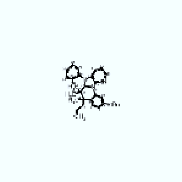 C=CCC1(C)c2ccc(C(C)(C)C)cc2N2c3ncccc3N(c3ccccc3C)C2C1(C)C